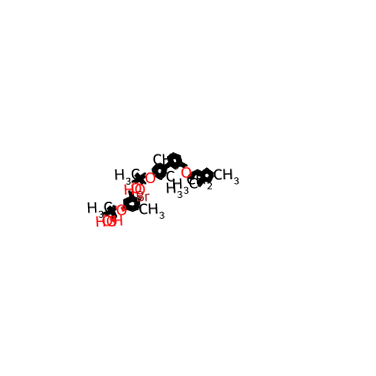 C=C(/C=C1/CC(C)C/C1=C/C)OCc1cccc(-c2c(C)cc(OCC(C)(CO)COCc3cc(OCC(C)(CO)CO)cc(C)c3Br)cc2C)c1